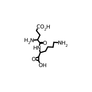 NCCCCC(NC(=O)C(N)CCC(=O)O)C1OC1O